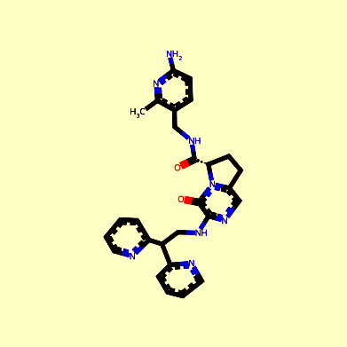 Cc1nc(N)ccc1CNC(=O)[C@@H]1CCc2cnc(NCC(c3ccccn3)c3ccccn3)c(=O)n21